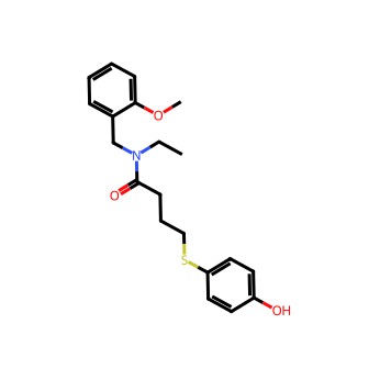 CCN(Cc1ccccc1OC)C(=O)CCCSc1ccc(O)cc1